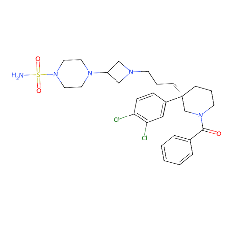 NS(=O)(=O)N1CCN(C2CN(CCC[C@]3(c4ccc(Cl)c(Cl)c4)CCCN(C(=O)c4ccccc4)C3)C2)CC1